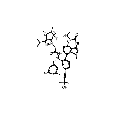 C[C@@H]1c2c(C(F)F)nn(CC(=O)N[C@@H](Cc3cc(F)cc(F)c3)c3nc(C#CC(C)(C)O)ccc3-c3ccc(Cl)c4c(NC(=O)CN(C)C)nn(C)c34)c2C(F)(F)[C@@H]1C